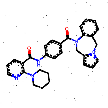 O=C(Nc1ccc(C(=O)N2Cc3cccn3Cc3ccccc32)cc1)c1cccnc1N1CCCCC1